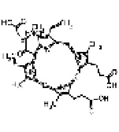 C=CC1=C(C)c2nc1cc1[nH]c(cc3nc(cc4[nH]c(c(C=C)c4C)c2C(=O)[C@H](CC(=O)O)NC)C(C)=C3CCC(=O)O)c(CCC(=O)O)c1C